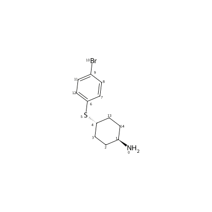 N[C@H]1CC[C@H](Sc2ccc(Br)cc2)CC1